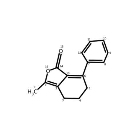 CC1=C2CCCC(c3ccccc3)=C2C(=O)O1